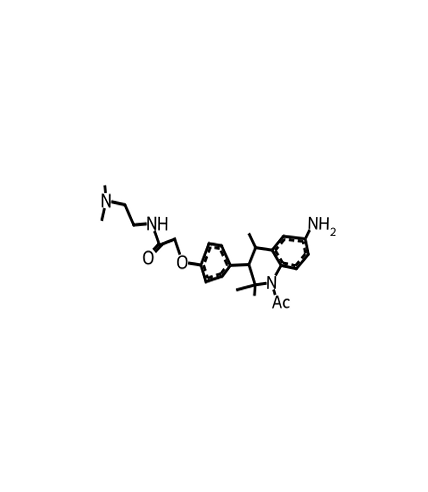 CC(=O)N1c2ccc(N)cc2C(C)C(c2ccc(OCC(=O)NCCN(C)C)cc2)C1(C)C